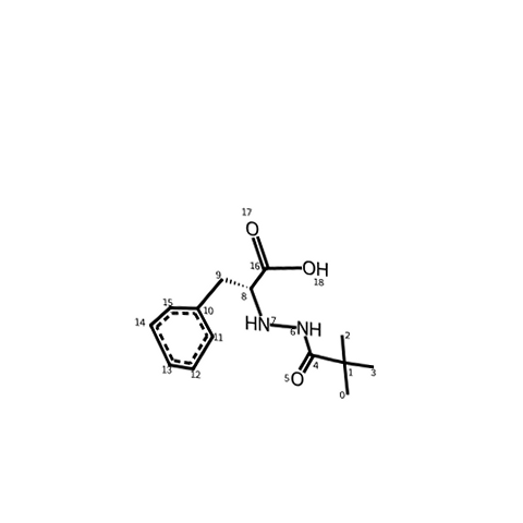 CC(C)(C)C(=O)NN[C@H](Cc1ccccc1)C(=O)O